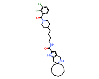 O=C(NCCCCC1CCN(C(=O)c2cccc(Cl)c2Cl)CC1)c1cc2c([nH]1)CC1(CCCCCCCCC1)NC2